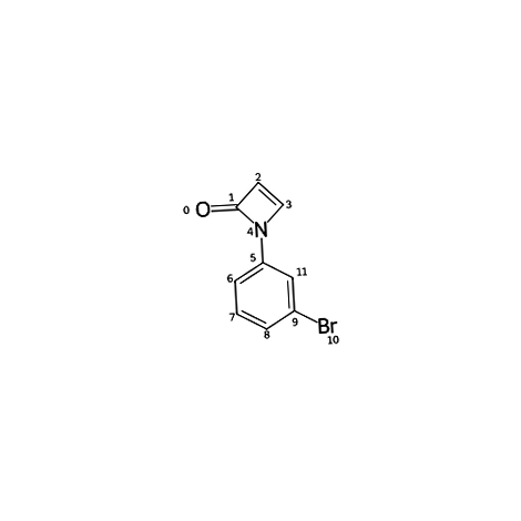 O=C1C=CN1c1cccc(Br)c1